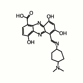 CN(C)C1CCC(N=Cc2c(O)cc(O)c3nc4c(C(=O)O)ccc(O)c4nc23)CC1